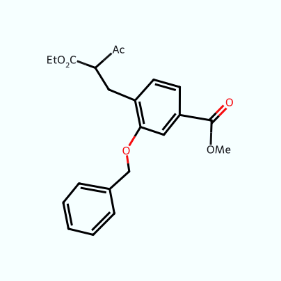 CCOC(=O)C(Cc1ccc(C(=O)OC)cc1OCc1ccccc1)C(C)=O